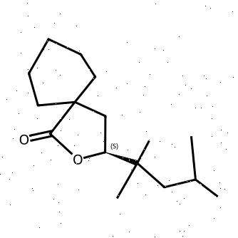 CC(C)CC(C)(C)[C@@H]1CC2(CCCCC2)C(=O)O1